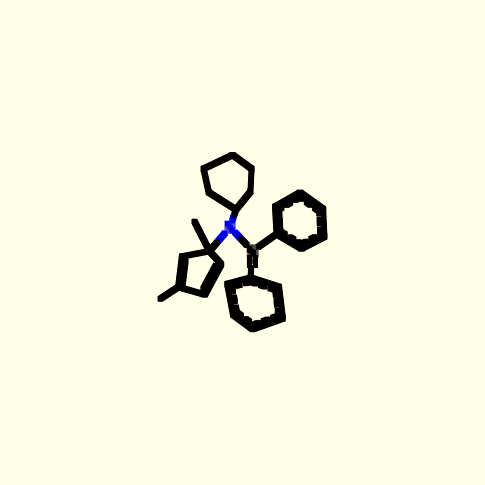 CC1=CC(C)(N(C2CCCCC2)[SiH](c2ccccc2)c2ccccc2)C=C1